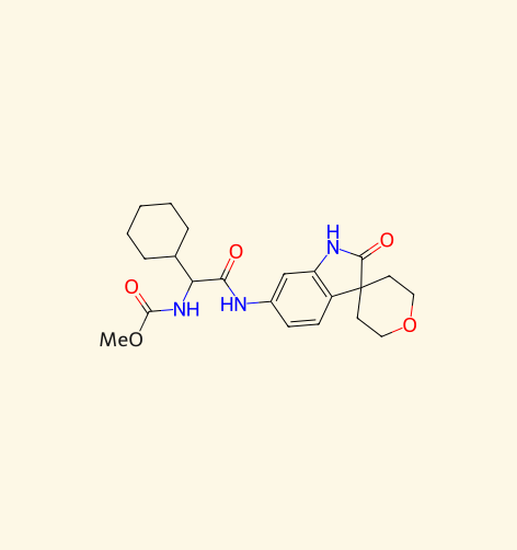 COC(=O)NC(C(=O)Nc1ccc2c(c1)NC(=O)C21CCOCC1)C1CCCCC1